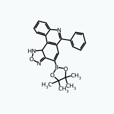 CC1(C)OB(C2=Cc3c(-c4ccccc4)nc4ccccc4c3C3NON=C23)OC1(C)C